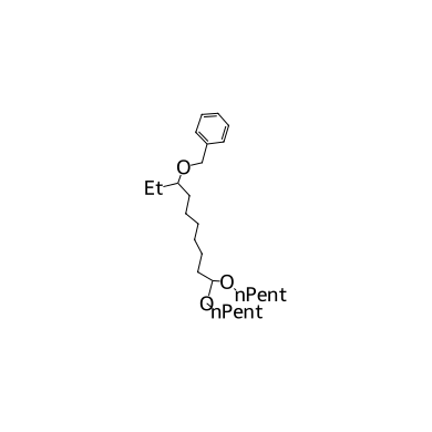 CCCCCOC(CCCCCCC(CC)OCc1ccccc1)OCCCCC